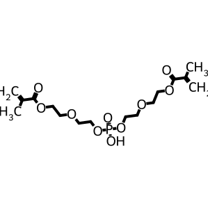 C=C(C)C(=O)OCCOCCOP(=O)(O)OCCOCCOC(=O)C(=C)C